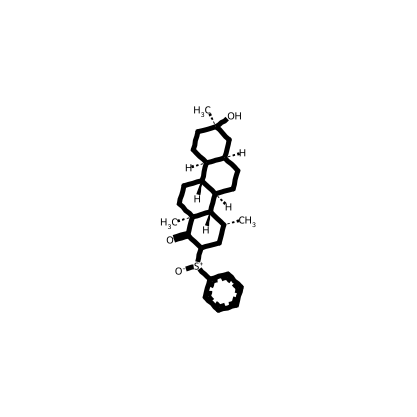 C[C@@H]1CC([S+]([O-])c2ccccc2)C(=O)[C@@]2(C)CC[C@H]3[C@@H](CC[C@@H]4C[C@](C)(O)CC[C@@H]43)[C@H]12